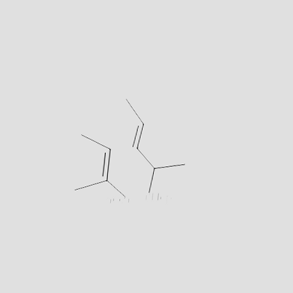 C/C=C(\C)CCCCCCCC.C/C=C/C(C)CCCCCCC